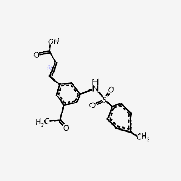 CC(=O)c1cc(/C=C/C(=O)O)cc(NS(=O)(=O)c2ccc(C)cc2)c1